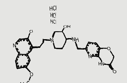 COc1ccc2ncc(Cl)c(CCN3CCC(NCc4ccc5c(n4)NC(=O)CO5)C(O)C3)c2c1.Cl.Cl.Cl